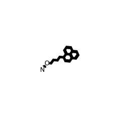 N#COCCCCC1C=Cc2cccc3cccc1c23